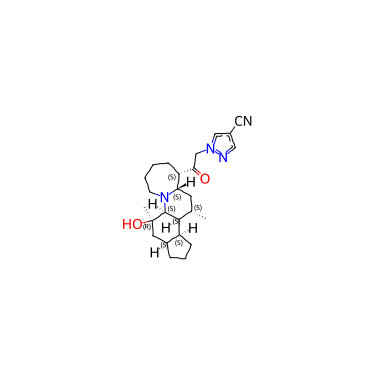 C[C@H]1C[C@H]2[C@@H](C(=O)Cn3cc(C#N)cn3)CCCCN2[C@H]2[C@@H]1[C@H]1CCC[C@H]1C[C@@]2(C)O